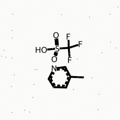 Cc1cccnc1.O=S(=O)(O)C(F)(F)F